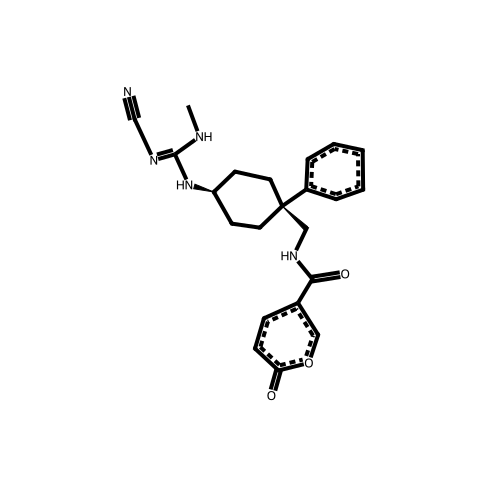 CN/C(=N\C#N)N[C@H]1CC[C@](CNC(=O)c2ccc(=O)oc2)(c2ccccc2)CC1